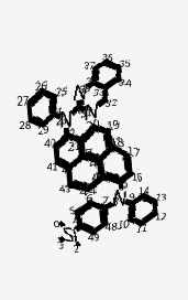 C[Si](C)(C)c1ccc(N(c2ccccc2)c2ccc3ccc4c(N(c5ccccc5)c5ncc6ccccc6n5)ccc5ccc2c3c54)cc1